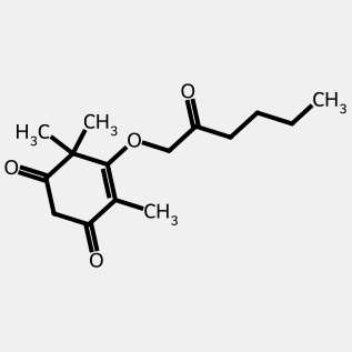 CCCCC(=O)COC1=C(C)C(=O)CC(=O)C1(C)C